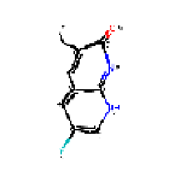 Cc1cc2cc(F)c[nH]c-2nc1=O